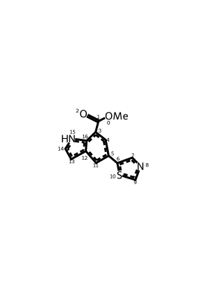 COC(=O)c1cc(-c2cncs2)cc2cc[nH]c12